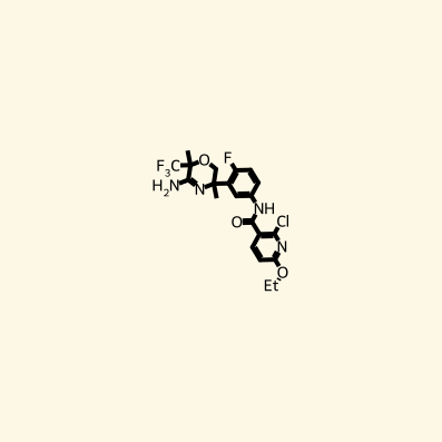 CCOc1ccc(C(=O)Nc2ccc(F)c(C3(C)COC(C)(C(F)(F)F)C(N)=N3)c2)c(Cl)n1